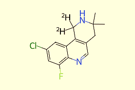 [2H]C1([2H])NC(C)(C)Cc2cnc3c(F)cc(Cl)cc3c21